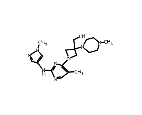 Cc1cnc(Nc2cnn(C)c2)nc1N1CC(CC#N)(N2CCN(C)CC2)C1